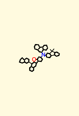 CC1(C)c2ccccc2-c2ccc(N(c3ccc4c(c3)oc3c(-c5ccc6ccccc6c5)c5ccccc5cc34)c3cc4ccccc4c4ccccc34)cc21